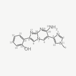 Cn1cnc(-c2cn3cc(-c4ccccc4O)nc3nc2N)c1